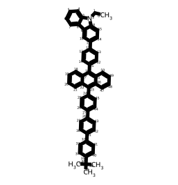 CCn1c2ccccc2c2cc(-c3ccc(-c4c5ccccc5c(-c5ccc(-c6ccc(-c7ccc(C(C)(C)C)cc7)cc6)cc5)c5ccccc45)cc3)ccc21